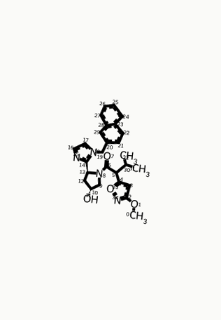 COc1cc(C(C(=O)N2C[C@H](O)C[C@H]2c2nccn2Cc2ccc3ccccc3c2)C(C)C)on1